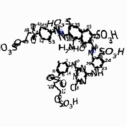 CN(c1cccc(S(=O)(=O)CCOS(=O)(=O)O)c1)c1nc(Cl)nc(Nc2ccc(S(=O)(=O)O)c(/N=N/c3c(S(=O)(=O)O)cc4cc(S(=O)(=O)O)c(/N=N/c5ccc(S(=O)(=O)CCOS(=O)(=O)O)cc5)c(N)c4c3O)c2)n1